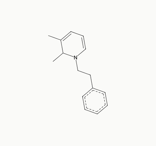 CC1=CC=CN(CCc2ccccc2)C1C